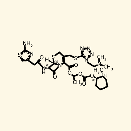 CC(OC(=O)O[C@@H]1CCCC[C@H]1C)OC(=O)C1=C(CSc2nnnn2CCN(C)C)CS[C@H]2[C@H](NC(=O)Cc3csc(N)n3)C(=O)N12